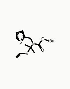 C=CSC(C)(C)N(Cc1cccs1)C(=O)OC(C)(C)C